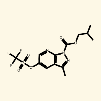 Cc1nn(C(=O)OCC(C)C)c2ncc(OS(=O)(=O)C(F)(F)F)cc12